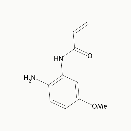 C=CC(=O)Nc1cc(OC)ccc1N